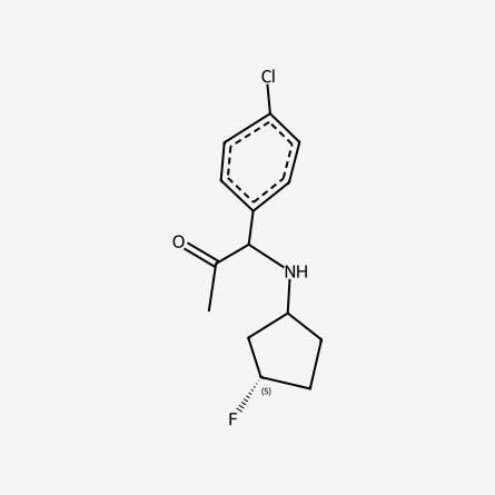 CC(=O)C(NC1CC[C@H](F)C1)c1ccc(Cl)cc1